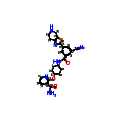 N#Cc1cc(C(=O)N[C@H]2CC[C@H](Oc3ncccc3C(N)=O)CC2)cc(-c2nc3c(s2)CNCC3)c1